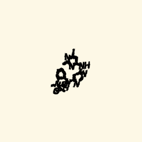 Cc1cc(Nc2cc(Nc3ccccc3N(C)S(C)(=O)=O)ncn2)nc(C)n1